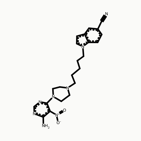 N#Cc1ccc2c(ccn2CCCCCN2CCN(c3ncnc(N)c3[N+](=O)[O-])CC2)c1